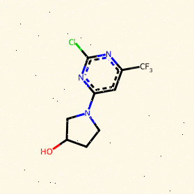 OC1CCN(c2cc(C(F)(F)F)nc(Cl)n2)C1